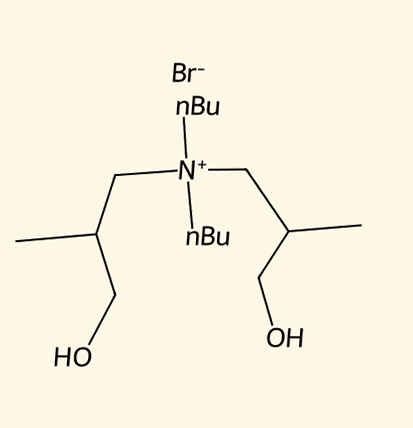 CCCC[N+](CCCC)(CC(C)CO)CC(C)CO.[Br-]